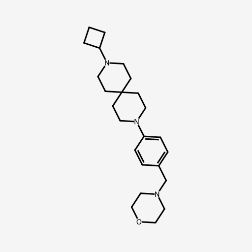 c1cc(N2CCC3(CC2)CCN(C2CCC2)CC3)ccc1CN1CCOCC1